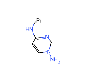 CC(C)NC1=NCN(N)C=C1